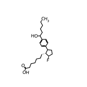 CCCCCC(O)c1ccc(C2CC[C@@H](F)[C@@H]2CCCCCCC(=O)O)cc1